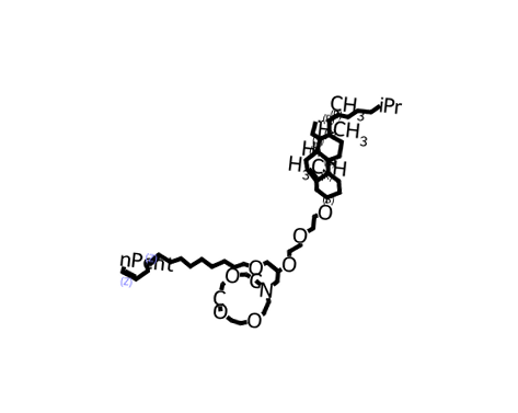 CCCCC/C=C\C/C=C\CCCCCCCCOCC(CN1CCOCCOCCOCC1)OCCOCCO[C@H]1CC[C@@]2(C)C(=CC[C@H]3[C@@H]4CC[C@H]([C@H](C)CCCC(C)C)[C@@]4(C)CC[C@@H]32)C1